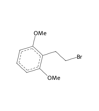 COc1cccc(OC)c1CCBr